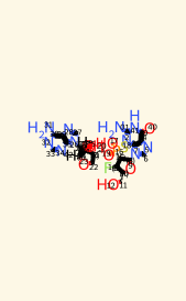 Nc1nc2c(ncn2[C@@H]2O[C@H](CO)[C@H](F)[C@H]2P(O)(=S)OC[C@@]23CO[C@@H]([C@H](n4cnc5c(N)ncnc54)O2)[C@@H]3O)c(=O)[nH]1